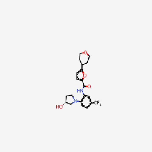 O=C(Nc1cc(C(F)(F)F)ccc1N1CC[C@@H](O)C1)c1ccc(C2CCOCC2)o1